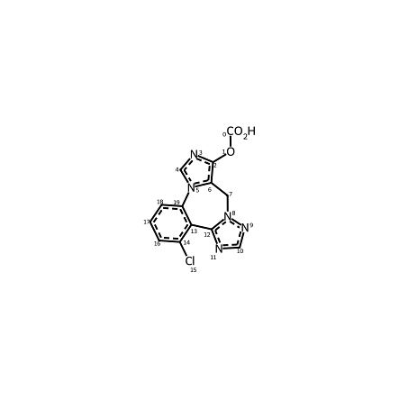 O=C(O)Oc1ncn2c1Cn1ncnc1-c1c(Cl)cccc1-2